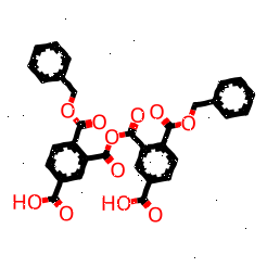 O=C(O)c1ccc(C(=O)OCc2ccccc2)c(C(=O)OC(=O)c2cc(C(=O)O)ccc2C(=O)OCc2ccccc2)c1